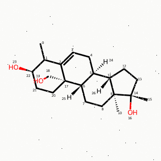 CC1C2=CC[C@@H]3[C@H](CC[C@@]4(C)[C@H]3CC[C@]4(C)O)[C@@]2(CO)CC[C@H]1O